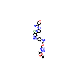 CC(C)[C@H](OC(=O)C(C)(C)C)n1nnc(COC[C@H](C)N[C@H]2CC[C@H](Nc3cc(-c4cccc(NCC5(C#N)CCOCC5)n4)c(Cl)cn3)CC2)n1